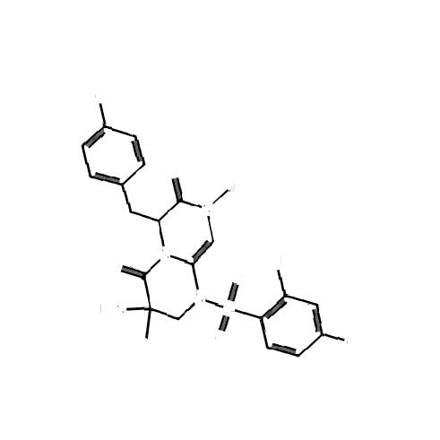 CC(C)N1C=C2N(C(=O)C(C)(N)CN2S(=O)(=O)c2ccc(Cl)cc2Cl)C(Cc2ccc(Cl)cc2)C1=O